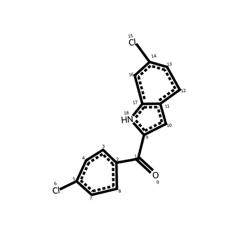 O=C(c1ccc(Cl)cc1)c1cc2ccc(Cl)cc2[nH]1